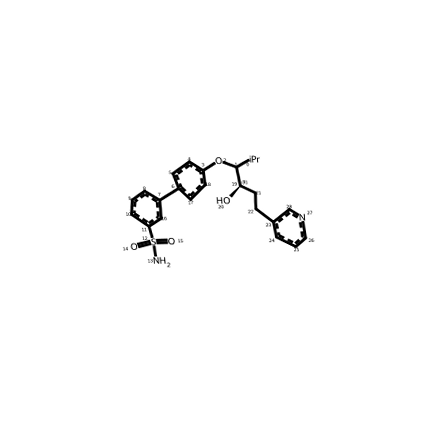 CC(C)C(Oc1ccc(-c2cccc(S(N)(=O)=O)c2)cc1)[C@H](O)CCc1cccnc1